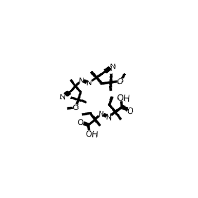 CCC(C)(N=NC(C)(CC)C(=O)O)C(=O)O.COC(C)(C)CC(C)(C#N)N=NC(C)(C#N)CC(C)(C)OC